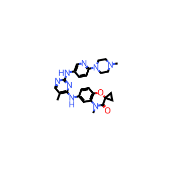 Cc1cnc(Nc2ccc(N3CCN(C)CC3)nc2)nc1Nc1ccc2c(c1)N(C)C(=O)C1(CC1)O2